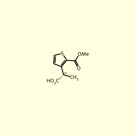 COC(=O)c1sccc1[C@H](C)C(=O)O